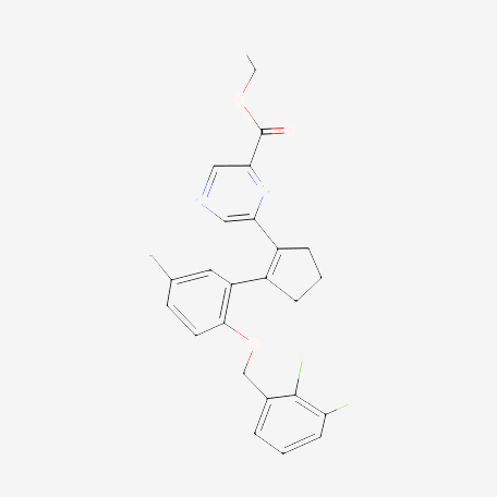 CCOC(=O)c1cncc(C2=C(c3cc(Cl)ccc3OCc3cccc(F)c3F)CCC2)n1